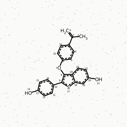 C=C(C)c1ccc(Oc2c(-c3ccc(O)cc3)sc3cc(O)ccc23)cc1